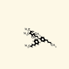 CCCCc1ccc(P(CCC2(C)P=C(C)C(C)=C2C)c2ccc(CCCC)cc2)cc1